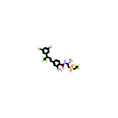 Cc1cc(/C=C/C(c2cc(Cl)cc(Cl)c2)C(F)(F)F)ccc1C(=O)N[C@H](C)CS(=O)(=O)CC(F)(F)F